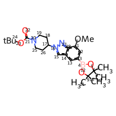 COc1cc(B2OC(C)(C)C(C)(C)O2)cc2cn(C3CCN(C(=O)OC(C)(C)C)CC3)nc12